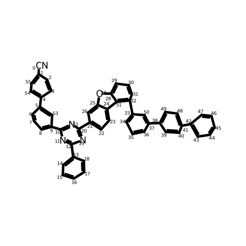 N#Cc1ccc(-c2cccc(-c3nc(-c4ccccc4)nc(-c4ccc5c(c4)oc4cccc(-c6cccc(-c7ccc(-c8ccccc8)cc7)c6)c45)n3)c2)cc1